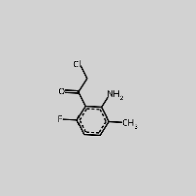 Cc1ccc(F)c(C(=O)CCl)c1N